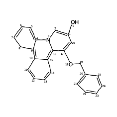 OC1=CN2C3=CC=CCC3=c3ccccc3=C2C(OCc2ccccc2)=C1